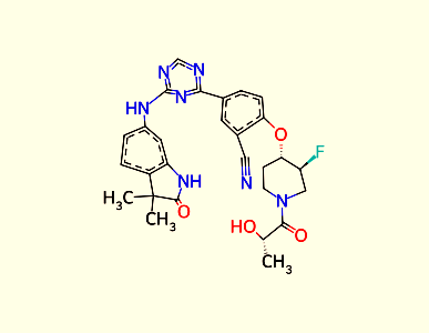 C[C@H](O)C(=O)N1CC[C@H](Oc2ccc(-c3ncnc(Nc4ccc5c(c4)NC(=O)C5(C)C)n3)cc2C#N)[C@@H](F)C1